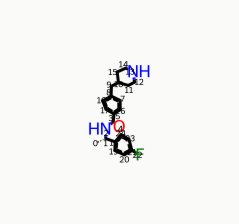 C[C@H](NC(=O)c1ccc(CC2CCNCC2)cc1)c1ccc(F)cc1